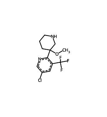 COC1(c2ncc(Cl)cc2C(F)(F)F)CCCNC1